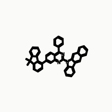 CC1(C)c2ccccc2-c2c(-c3ccc4c(-c5ccccc5)nc(-n5c6ccccc6c6cc7ccccc7cc65)nc4c3)cccc21